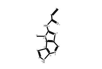 C=CC(=O)Nc1nc2cnc3[nH]ccc3c2n1C